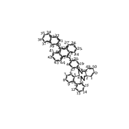 C1=CC2=NC(c3ccccc3-c3ccccc3)N(c3ccc(-c4c5ccccc5c(-c5ccc6ccccc6c5)c5ccccc45)cc3)C2C=C1